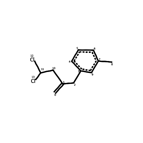 C=C(Cc1cccc(C)c1)CC(Cl)Cl